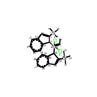 C[CH]=[Zr]([Cl])([Cl])([CH]1C([Si](C)(C)C)=Cc2ccccc21)[CH]1C([Si](C)(C)C)=Cc2ccccc21